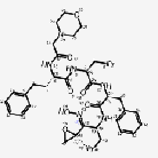 CC(C)C[C@H](NC(=O)[C@H](CCc1ccccc1)NC(=O)CN1CCOCC1)C(=O)N[C@@H](Cc1ccccc1)C(=O)N[C@@H](CC(C)C)/C(=N/O)[C@@]1(C)CO1